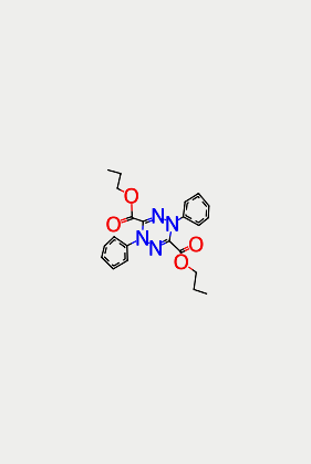 CCCOC(=O)C1=NN(c2ccccc2)C(C(=O)OCCC)=NN1c1ccccc1